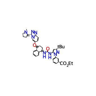 CCOC(=O)c1cccc(-n2nc(C(C)(C)C)cc2NC(=O)N[C@H]2CC[C@@H](Oc3ccc4nnc([C@@H]5CCCN5C)n4c3)c3ccccc32)c1